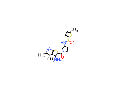 Cc1ccc([S+]([O-])NC2CCN(C(=O)c3sc4nnc(C)c(C)c4c3N)C2)s1